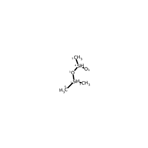 C[SiH](C)O[SiH](C)[O]